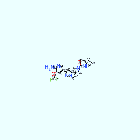 CC(C)C1(NC(=O)N2CC3(CCn4nc(-c5cnc(N)c(OC(F)F)c5)cc43)C2)CCC1